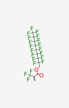 C=C(C(=O)OCC(F)(F)C(F)(F)C(F)(F)C(F)(F)C(F)(F)C(F)(F)C(F)(F)C(F)(F)F)C(F)(F)F